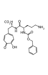 NCCC[C@@H](NC(=O)OCc1ccccc1)C(=O)N[C@@H](Cc1ccc(O)c(=O)cc1)C(=O)O